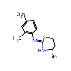 Cc1cc([N+](=O)[O-])ccc1/N=C1/N[C@@H](C(C)C)CCS1